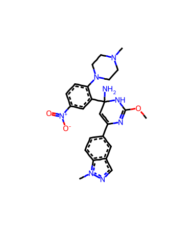 COC1=NC(c2ccc3c(cnn3C)c2)=CC(N)(c2cc([N+](=O)[O-])ccc2N2CCN(C)CC2)N1